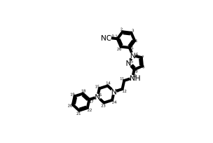 N#Cc1cccc(-n2ccc(NCCN3CCN(c4ccccc4)CC3)n2)c1